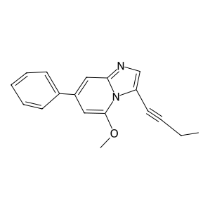 CCC#Cc1cnc2cc(-c3ccccc3)cc(OC)n12